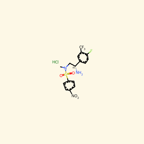 CN(C[C@@H](N)c1ccc(F)c(C(F)(F)F)c1)S(=O)(=O)c1ccc([N+](=O)[O-])cc1.Cl